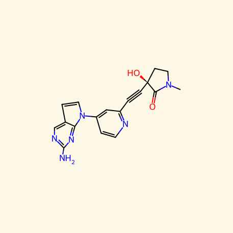 CN1CC[C@@](O)(C#Cc2cc(-n3ccc4cnc(N)nc43)ccn2)C1=O